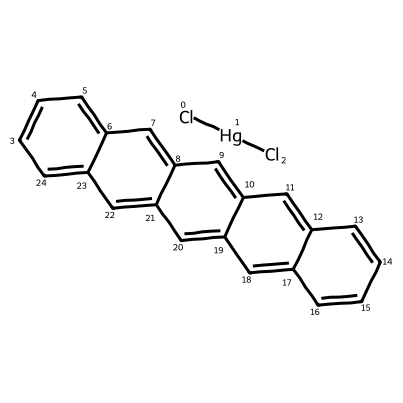 [Cl][Hg][Cl].c1ccc2cc3cc4cc5ccccc5cc4cc3cc2c1